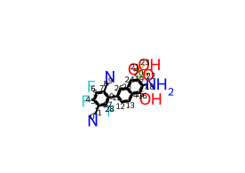 N#Cc1c(F)c(F)c(C#N)c(-c2ccc3c(O)c(N)c(S(=O)(=O)O)cc3c2)c1F